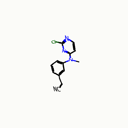 CN(c1cccc(CC#N)c1)c1ccnc(Cl)n1